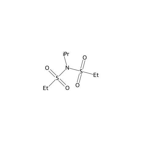 CCS(=O)(=O)N(C(C)C)S(=O)(=O)CC